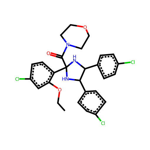 CCOc1cc(Cl)ccc1C1(C(=O)N2CCOCC2)NC(c2ccc(Cl)cc2)C(c2ccc(Cl)cc2)N1